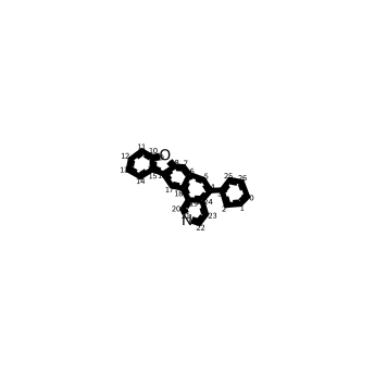 c1ccc(-c2cc3cc4oc5ccccc5c4cc3c3cnccc23)cc1